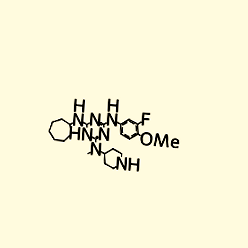 COc1ccc(NC2=NC(NC3CCCCCC3)NC(N(C)C3CCNCC3)=N2)cc1F